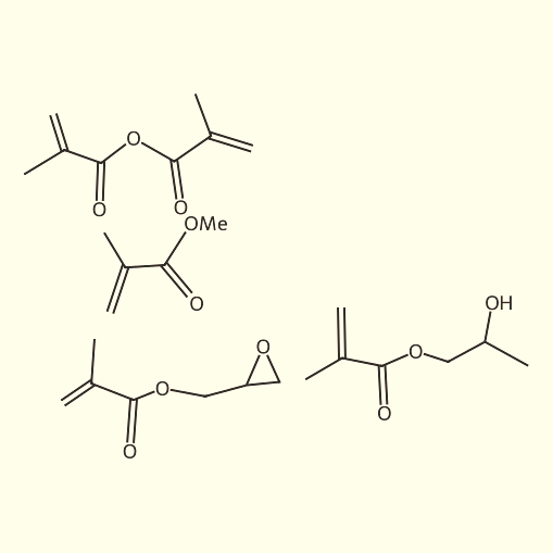 C=C(C)C(=O)OC.C=C(C)C(=O)OC(=O)C(=C)C.C=C(C)C(=O)OCC(C)O.C=C(C)C(=O)OCC1CO1